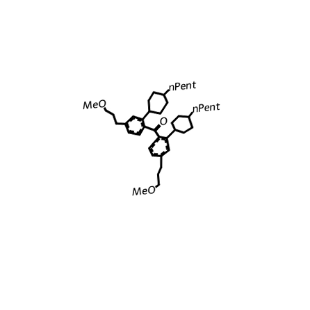 CCCCCC1CCC(c2cc(CCCOC)ccc2C(=O)c2ccc(CCCOC)cc2C2CCC(CCCCC)CC2)CC1